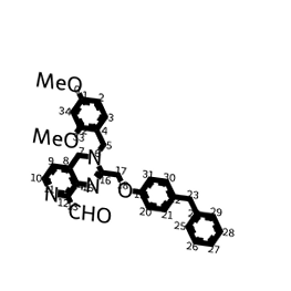 COc1ccc(CN2Cc3ccnc(C=O)c3N=C2COc2ccc(Cc3ccccc3)cc2)c(OC)c1